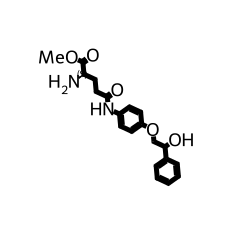 COC(=O)[C@@H](N)CCC(=O)Nc1ccc(OCC(O)c2ccccc2)cc1